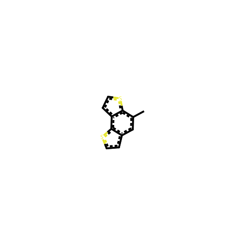 Cc1cc2ccsc2c2ccsc12